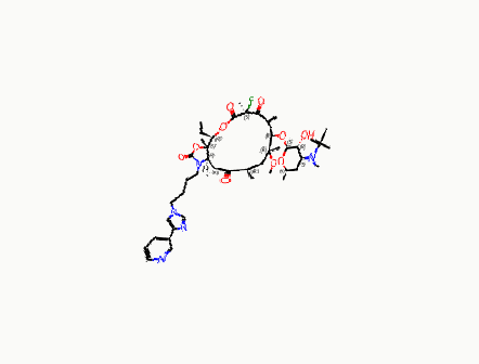 CC[C@H]1OC(=O)[C@@](C)(F)C(=O)C(C)[C@@H](O[C@@H]2O[C@H](C)C[C@H](N(C)C(C)(C)C)[C@H]2O)[C@](C)(OC)C[C@@H](C)C(=O)[C@H](C)[C@H]2N(CCCCn3cnc(-c4cccnc4)c3)C(=O)O[C@]12C